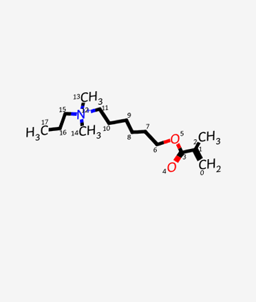 C=C(C)C(=O)OCCCCCC[N+](C)(C)CCC